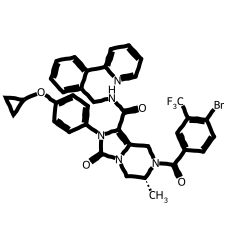 C[C@@H]1Cn2c(c(C(=O)NCc3ccccc3-c3ccccn3)n(-c3ccc(OC4CC4)cc3)c2=O)CN1C(=O)c1ccc(Br)c(C(F)(F)F)c1